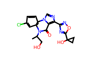 CC(CO)n1c(=O)c2c(-c3noc(C4(O)CC4)n3)ncn2c2ccc(Cl)cc21